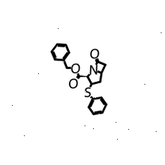 O=C(OCc1ccccc1)[C@@H]1C(Sc2ccccc2)CC2CC(=O)N21